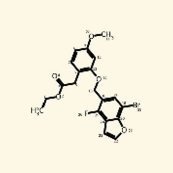 CCOC(=O)Cc1ccc(OC)cc1OCc1cc(Br)c2occc2c1F